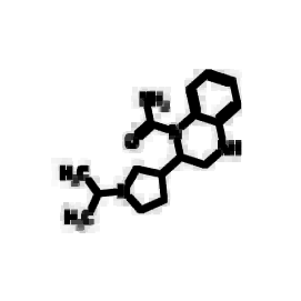 CC(C)N1CCC(C2CNc3ccccc3N2C(N)=O)C1